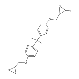 CC(C)(c1ccc(OCC2CO2)cc1)c1ccc(OCC2OC2I)cc1